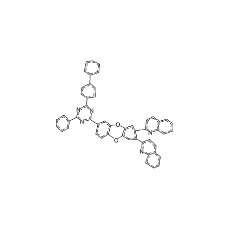 c1ccc(-c2ccc(-c3nc(-c4ccccc4)nc(-c4ccc5c(c4)Oc4cc(-c6ccc7ccccc7n6)c(-c6ccc7ccccc7n6)cc4O5)n3)cc2)cc1